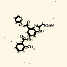 COCc1nc2c(C(=O)Nc3cccs3)cc(NC(=O)c3ccccc3C)cc2[nH]1